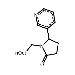 CCCCCCCCCN1C(=O)CSC1c1cccnc1